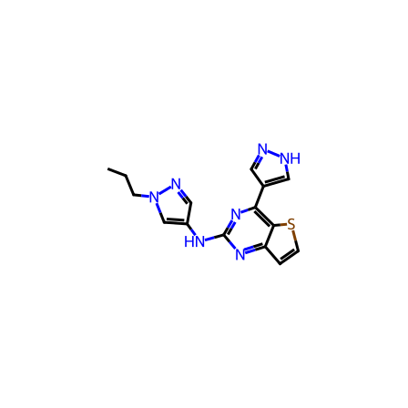 CCCn1cc(Nc2nc(-c3cn[nH]c3)c3sccc3n2)cn1